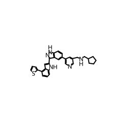 c1csc(-c2cccc3[nH]c(-c4n[nH]c5ccc(-c6cncc(CNCC7CCCC7)c6)cc45)cc23)c1